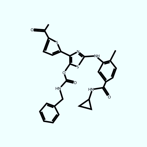 CC(=O)c1ccc(-c2nc(Nc3cc(C(=O)NC4CC4)ccc3C)sc2OC(=O)NCc2ccccc2)s1